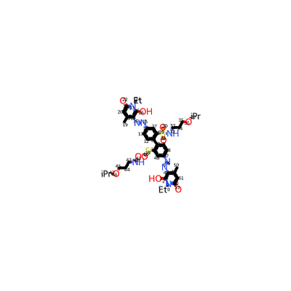 CCn1c(O)c(N=Nc2ccc(-c3ccc(N=Nc4c(C)cc(=O)n(CC)c4O)cc3S(=O)(=O)NCCCOC(C)C)c(SOONCCCOC(C)C)c2)c(C)cc1=O